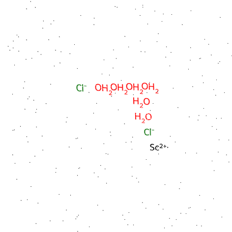 O.O.O.O.O.O.[Cl-].[Cl-].[Sc+2]